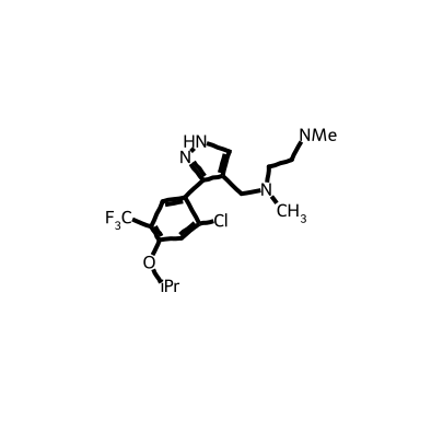 CNCCN(C)Cc1c[nH]nc1-c1cc(C(F)(F)F)c(OC(C)C)cc1Cl